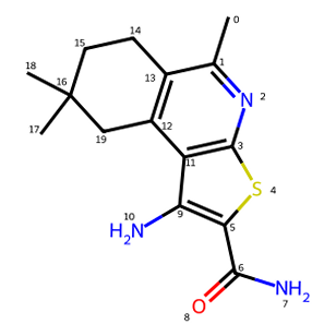 Cc1nc2sc(C(N)=O)c(N)c2c2c1CCC(C)(C)C2